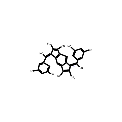 N#CC1=C(C(F)(F)F)/C(=C(\C#N)c2cc(C#N)cc(C#N)c2)c2cc3c(cc21)/C(=C(/C#N)c1cc(C#N)cc(C#N)c1)C(C(F)(F)F)=C3C#N